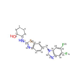 OC1CCCCC1Nc1nc2ccc(Cn3cnc4cc(F)c(F)cc43)cc2s1